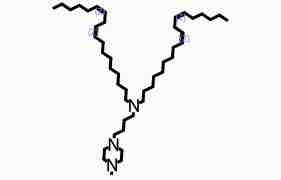 CCCCC/C=C\C/C=C\CCCCCCCCN(CCCCCCCC/C=C\C/C=C\CCCCC)CCCCN1CCN(C)CC1